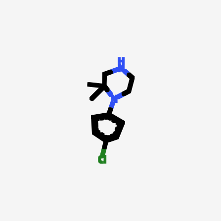 CC1(C)CNCCN1c1ccc(Cl)cc1